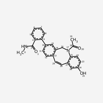 CNC(=O)c1ccccc1-c1ccc2c(c1)CN(C(C)=O)c1ccc(O)cc1/C=C\2